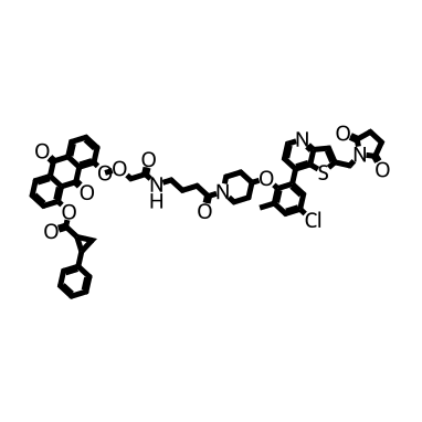 Cc1cc(Cl)cc(-c2ccnc3cc(CN4C(=O)CCC4=O)sc23)c1OC1CCN(C(=O)CCCNC(=O)COOc2cccc3c2C(=O)c2c(OC(=O)C4CC4c4ccccc4)cccc2C3=O)CC1